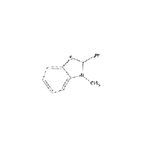 CC(C)C1Sc2ccccc2N1C